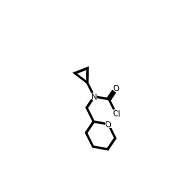 O=C(Cl)N(CC1CCCCO1)C1CC1